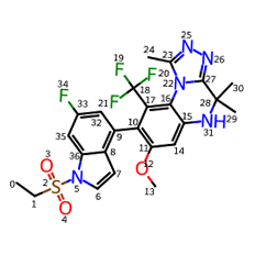 CCS(=O)(=O)n1ccc2c(-c3c(OC)cc4c(c3C(F)(F)F)-n3c(C)nnc3C(C)(C)N4)cc(F)cc21